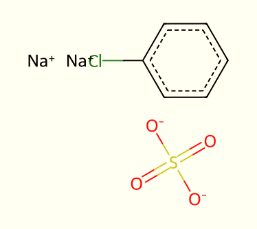 Clc1ccccc1.O=S(=O)([O-])[O-].[Na+].[Na+]